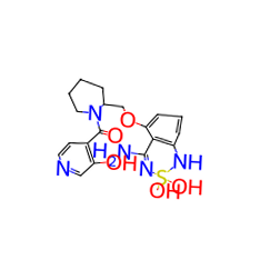 NC1=NS(O)(O)Nc2cccc(OCC3CCCCN3C(=O)c3ccncc3O)c21